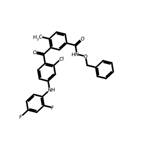 Cc1ccc(C(=O)NOCc2ccccc2)cc1C(=O)c1ccc(Nc2ccc(F)cc2F)cc1Cl